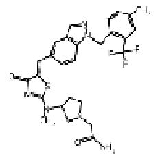 Cc1ccc(Cn2ncc3cc(/C=C4\SC(N(C)C5CCN(CC(N)=O)C5)=NC4=O)ccc32)c(C(F)(F)F)c1